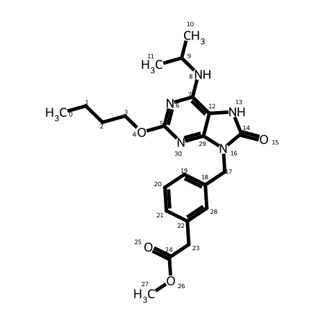 CCCCOc1nc(NC(C)C)c2[nH]c(=O)n(Cc3cccc(CC(=O)OC)c3)c2n1